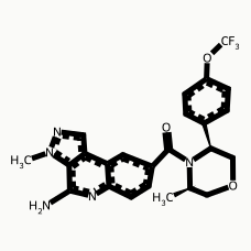 C[C@@H]1COC[C@H](c2ccc(OC(F)(F)F)cc2)N1C(=O)c1ccc2nc(N)c3c(cnn3C)c2c1